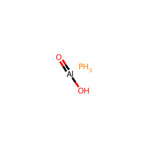 P.[O]=[Al][OH]